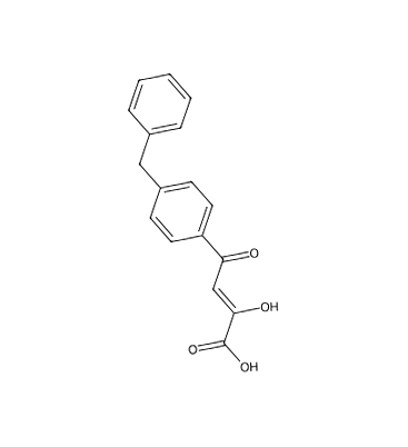 O=C(O)C(O)=CC(=O)c1ccc(Cc2ccccc2)cc1